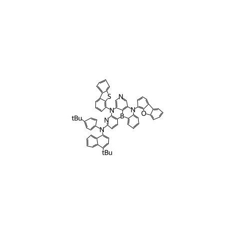 CC(C)(C)c1ccc(N(c2ccc3c(n2)N(c2cccc4c2sc2ccccc24)c2cncc4c2B3c2ccccc2N4c2cccc3c2oc2ccccc23)c2ccc(C(C)(C)C)c3ccccc23)cc1